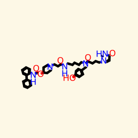 O=C1C=CN(CCCC(=O)N(CCCCCNC(=O)CCN2CCC(OC(=O)Nc3ccccc3-c3ccccc3)CC2)Cc2ccc(O)cc2)CN1